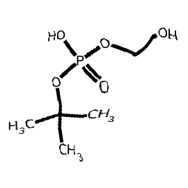 CC(C)(C)OP(=O)(O)OCO